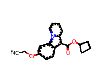 N#CCOc1ccc2c(C(=O)OC3CCC3)c3ccccn3c2c1